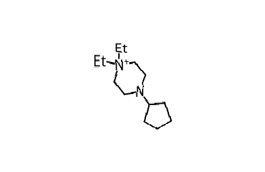 CC[N+]1(CC)CCN(C2CCCC2)CC1